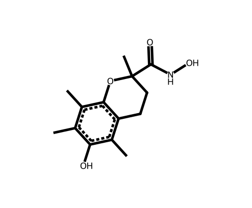 Cc1c(C)c2c(c(C)c1O)CCC(C)(C(=O)NO)O2